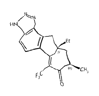 CC[C@]12Cc3c(ccc4[nH]nnc34)C1=C(C(F)(F)F)C(=O)[C@H](C)C2